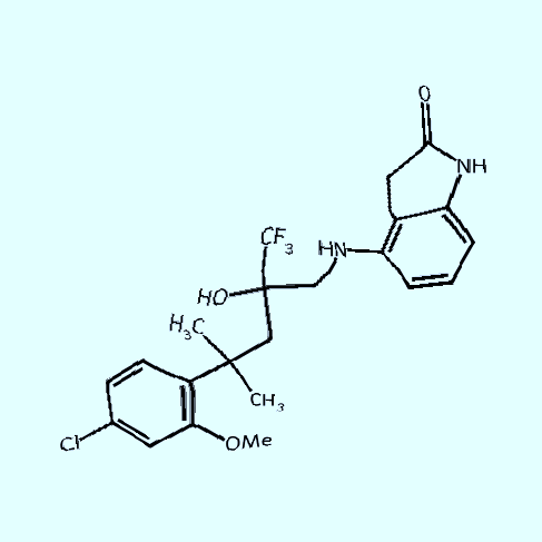 COc1cc(Cl)ccc1C(C)(C)CC(O)(CNc1cccc2c1CC(=O)N2)C(F)(F)F